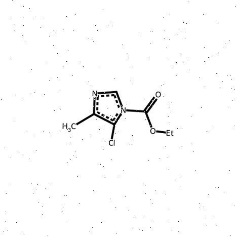 CCOC(=O)n1cnc(C)c1Cl